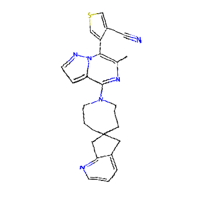 Cc1nc(N2CCC3(CC2)Cc2cccnc2C3)c2ccnn2c1-c1cscc1C#N